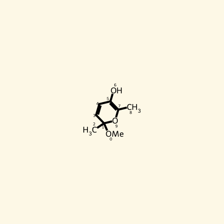 COC1(C)C=CC(O)=C(C)O1